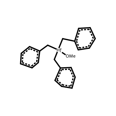 C[O][Hf]([CH2]c1ccccc1)([CH2]c1ccccc1)[CH2]c1ccccc1